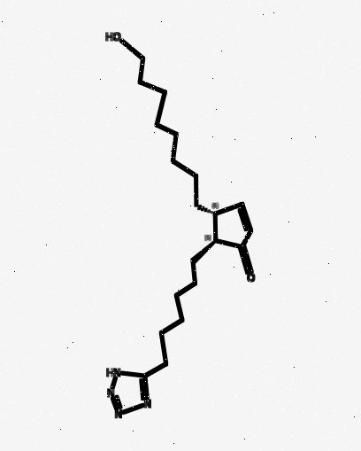 O=C1C=C[C@@H](CCCCCCCCO)[C@@H]1CCCCCCc1nnn[nH]1